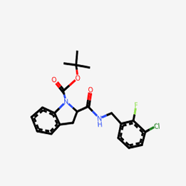 CC(C)(C)OC(=O)N1c2ccccc2CC1C(=O)NCc1cccc(Cl)c1F